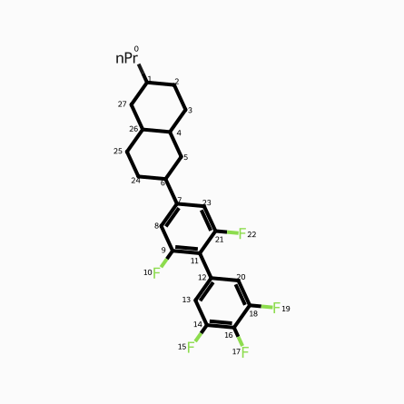 CCCC1CCC2CC(c3cc(F)c(-c4cc(F)c(F)c(F)c4)c(F)c3)CCC2C1